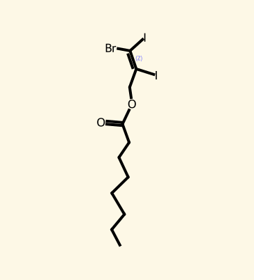 CCCCCCCC(=O)OC/C(I)=C(\Br)I